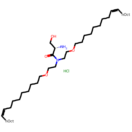 CCCCCCCC/C=C\CCCCCCCCOCCN(CCOCCCCCCCC/C=C\CCCCCCCC)C(=O)[C@@H](N)CO.Cl